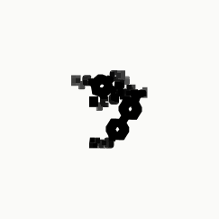 COc1ccc(-c2ccc3c(I)nn(S(=O)(=O)c4c(C)cc(C)cc4C)c3c2)cc1